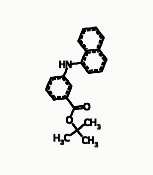 CC(C)(C)OC(=O)c1cccc(Nc2cccc3ccccc23)c1